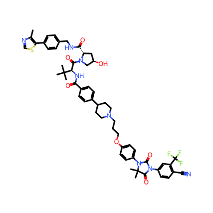 Cc1ncsc1-c1ccc(CNC(=O)[C@@H]2C[C@@H](O)CN2C(=O)[C@@H](NC(=O)c2ccc(C3CCN(CCCOc4ccc(N5C(=O)N(c6ccc(C#N)c(C(F)(F)F)c6)C(=O)C5(C)C)cc4)CC3)cc2)C(C)(C)C)cc1